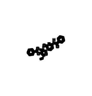 CC[C@H]1O[C@@H](n2ccc(NC(=O)c3ccccc3)nc2=O)C(C)(F)[C@@H]1OC(=O)c1ccccc1